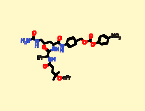 CCCOC(C)(C)CCC(=O)NC(C(=O)N[C@@H](CCCNC(N)=O)C(=O)Nc1ccc(COC(=O)Oc2ccc([N+](=O)[O-])cc2)cc1)C(C)C